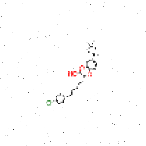 CC(C)(C)CC(C)(C)c1ccc(OC(CCCCCc2ccc(Cl)cc2)C(=O)O)cc1